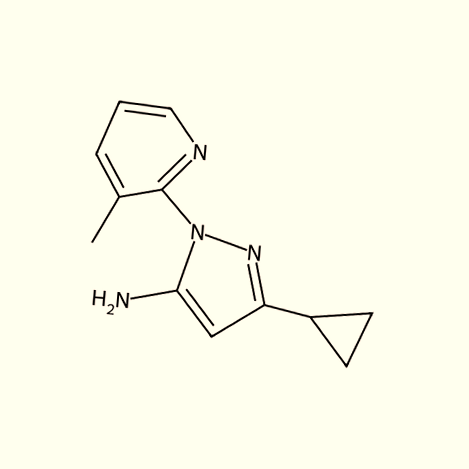 Cc1cccnc1-n1nc(C2CC2)cc1N